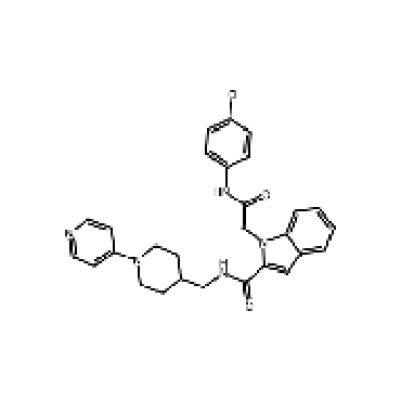 O=C(Cn1c(C(=O)NCC2CCN(c3ccncc3)CC2)cc2ccccc21)Nc1ccc(Cl)cc1